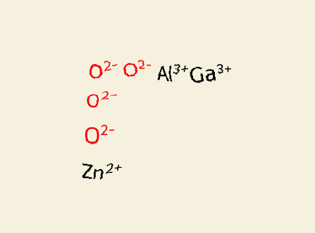 [Al+3].[Ga+3].[O-2].[O-2].[O-2].[O-2].[Zn+2]